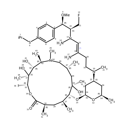 CO[C@H](c1ccc(SC(C)C)cc1)[C@@H](CF)N(N)/C=C(\N)CCN(C)[C@@H]1C[C@H](O[C@@H]2[C@@H](C)C[C@@H](C)C(=O)O[C@H](I)[C@@](C)(O)[C@H](O)[C@@H](C)N(C)C[C@H](C)C[C@@]2(C)O)O[C@H](C)C1